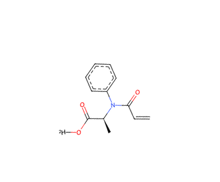 [2H]OC(=O)[C@H](C)N(C(=O)C=C)c1ccccc1